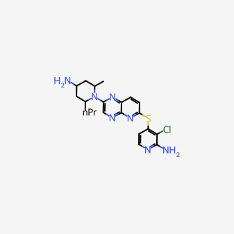 CCCC1CC(N)CC(C)N1c1cnc2nc(Sc3ccnc(N)c3Cl)ccc2n1